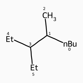 [CH2]CCCC(C)C(CC)CC